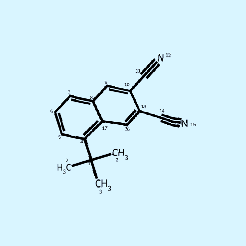 CC(C)(C)c1cccc2cc(C#N)c(C#N)cc12